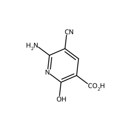 N#Cc1cc(C(=O)O)c(O)nc1N